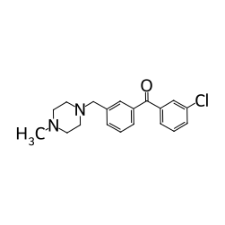 CN1CCN(Cc2cccc(C(=O)c3cccc(Cl)c3)c2)CC1